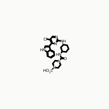 O=C(O)N1CCN(C(=O)NC2CCC[C@@H](Nc3ncc(Cl)c(-c4c[nH]c5ccccc45)n3)C2)CC1